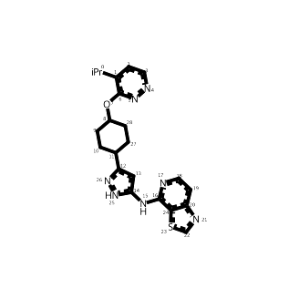 CC(C)c1ccnnc1OC1CCC(c2cc(Nc3nccc4ncsc34)[nH]n2)CC1